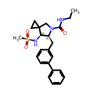 CCNC(=O)N1CC2(CC2)[C@H](NS(C)(=O)=O)[C@@H]1Cc1cccc(-c2ccccc2)c1